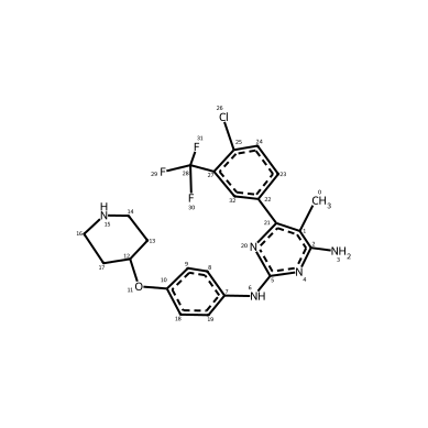 Cc1c(N)nc(Nc2ccc(OC3CCNCC3)cc2)nc1-c1ccc(Cl)c(C(F)(F)F)c1